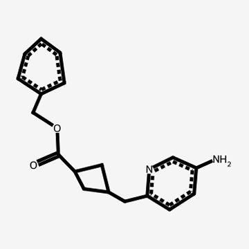 Nc1ccc(CC2CC(C(=O)OCc3ccccc3)C2)nc1